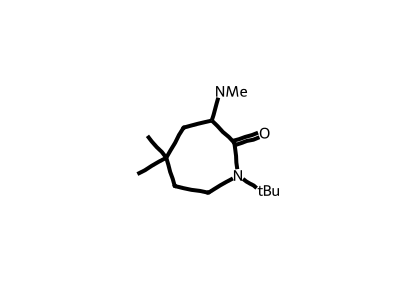 CNC1CC(C)(C)CCN(C(C)(C)C)C1=O